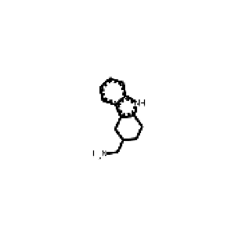 NCC1CCc2[nH]c3ccccc3c2C1